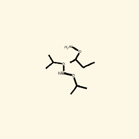 CC(C)[O][AlH][O]C(C)C.CCC(C)[O][AlH2]